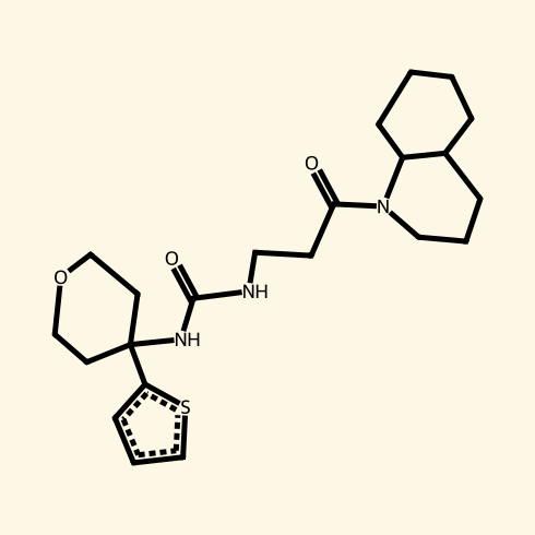 O=C(NCCC(=O)N1CCCC2CCCCC21)NC1(c2cccs2)CCOCC1